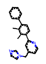 Cc1c(-c2ccccc2)ccc(-c2cc(Cn3ccnc3)ccn2)c1C